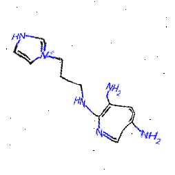 Nc1cnc(NCCC[n+]2cc[nH]c2)c(N)c1